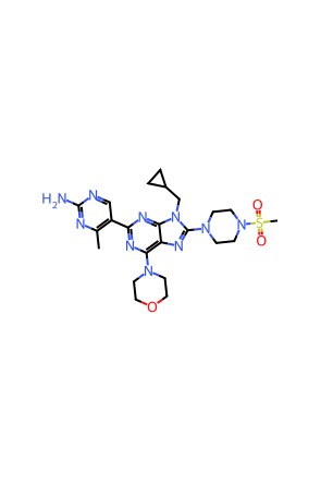 Cc1nc(N)ncc1-c1nc(N2CCOCC2)c2nc(N3CCN(S(C)(=O)=O)CC3)n(CC3CC3)c2n1